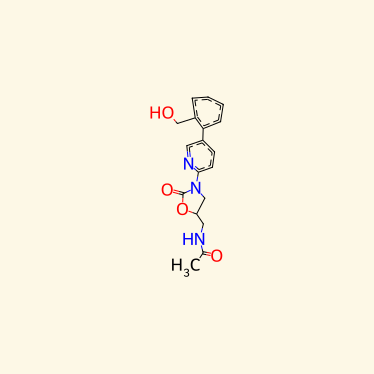 CC(=O)NCC1CN(c2ccc(-c3ccccc3CO)cn2)C(=O)O1